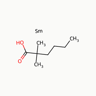 CCCCC(C)(C)C(=O)O.[Sm]